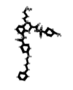 Cc1ccc(S(=O)(=O)NC(=O)C2CN(CCCC(=O)O)c3cccc(NC(=O)c4ccc(OCCCCc5ccccc5)cc4)c3O2)cc1